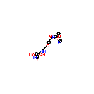 Cc1cc(CCC(=O)N2CCC(C(=O)O[C@H]3CN4CCC3CC4)(c3ccccc3)CC2)ccc1OCCCCCNC[C@H](O)c1ccc(O)c2[nH]c(=O)ccc12